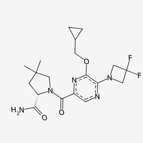 CC1(C)C[C@@H](C(N)=O)N(C(=O)c2cnc(N3CC(F)(F)C3)c(OCC3CC3)n2)C1